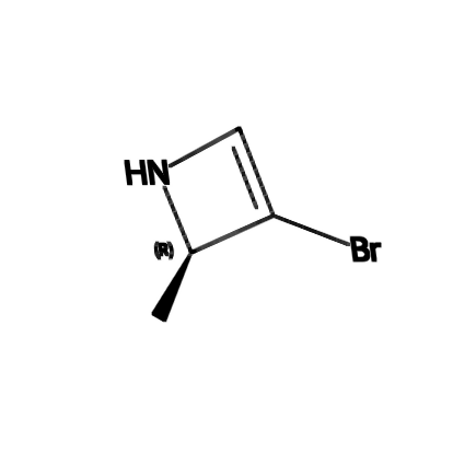 C[C@H]1NC=C1Br